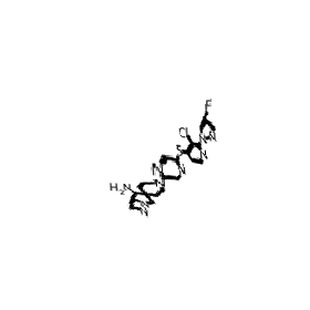 N[C@@H]1c2ccnn2CC12CCN(c1cnc(Sc3ccnc(-n4cc(F)cn4)c3Cl)cn1)CC2